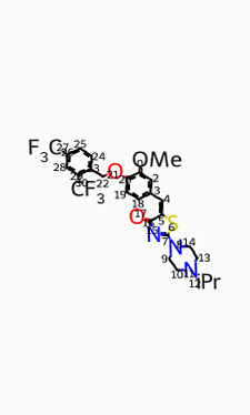 COc1cc(/C=C2/SC(N3CCN(C(C)C)CC3)=NC2=O)ccc1OCc1ccc(C(F)(F)F)cc1C(F)(F)F